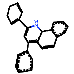 C1=CC(C2=CC(c3ccccc3)=C3C=Cc4ccccc4C3N2)=CCC1